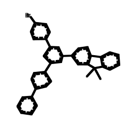 CC1(C)c2ccccc2-c2ccc(-c3cc(-c4ccc(Br)cc4)cc(-c4ccc(-c5ccccc5)cc4)c3)cc21